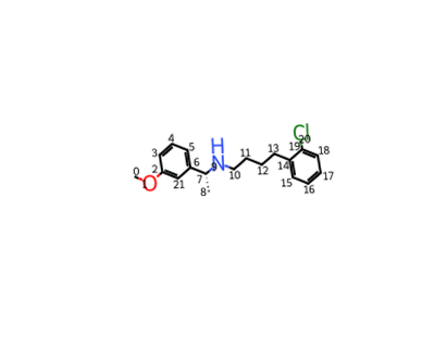 COc1cccc([C@@H](C)NCCCCc2ccccc2Cl)c1